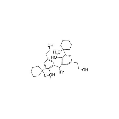 CC(C)C(c1cc(CCO)cc(C2(C)CCCCC2)c1O)c1cc(CCO)cc(C2(C)CCCCC2)c1O